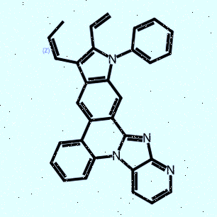 C=Cc1c(/C=C\C)c2cc3c4ccccc4n4c5cccnc5nc4c3cc2n1-c1ccccc1